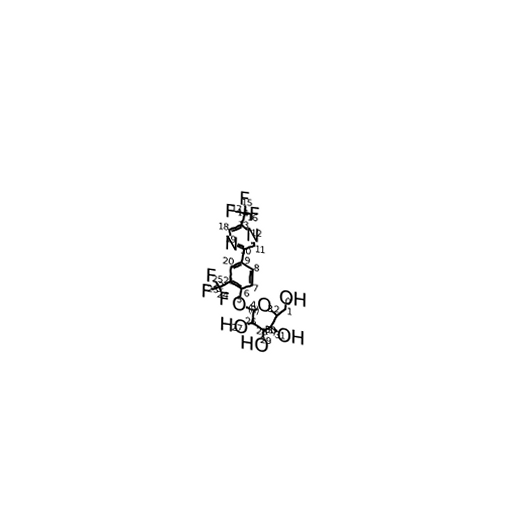 OCC1O[C@H](Oc2ccc(-c3cnc(C(F)(F)F)cn3)cc2C(F)(F)F)C(O)C(O)[C@@H]1O